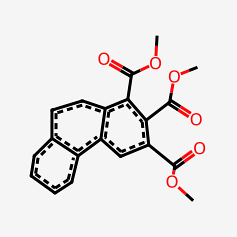 COC(=O)c1cc2c(ccc3ccccc32)c(C(=O)OC)c1C(=O)OC